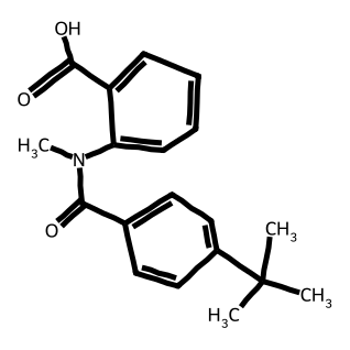 CN(C(=O)c1ccc(C(C)(C)C)cc1)c1ccccc1C(=O)O